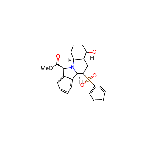 COC(=O)[C@@H]1c2ccccc2[C@@H]2C(S(=O)(=O)c3ccccc3)C[C@@H]3C(=O)CCC[C@H]3N12